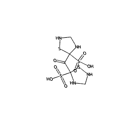 O=C(C1(S(=O)(=O)O)NCNS1)C1(S(=O)(=O)O)NCNS1